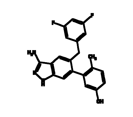 Cc1ccc(O)cc1-c1cc2[nH]nc(N)c2cc1Cc1cc(F)cc(F)c1